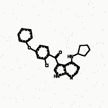 O=C(c1ccc(Oc2ccccc2)cc1Cl)c1c[nH]c2nccc(NC3CCCC3)c12